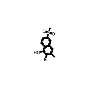 Cc1cc2cc(S(C)(=O)=O)ccc2c(O)c1Br